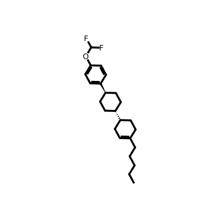 CCCCCC1=CCC([C@H]2CC[C@H](c3ccc(OC(F)F)cc3)CC2)CC1